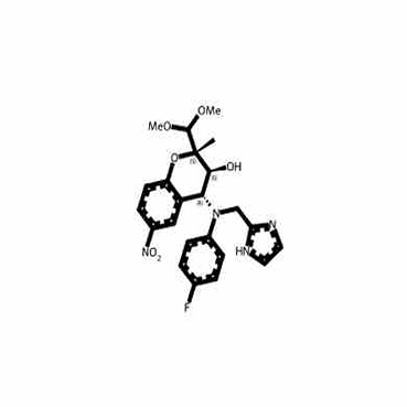 COC(OC)[C@@]1(C)Oc2ccc([N+](=O)[O-])cc2[C@@H](N(Cc2ncc[nH]2)c2ccc(F)cc2)[C@@H]1O